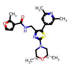 Cc1cc(-c2sc(N3C[C@@H](C)O[C@@H](C)C3)nc2CNC(=O)c2ccoc2C)cc(C)n1